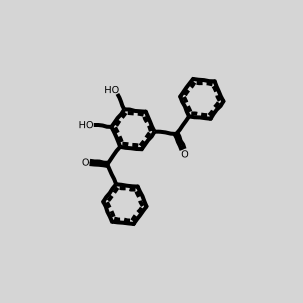 O=C(c1ccccc1)c1cc(O)c(O)c(C(=O)c2ccccc2)c1